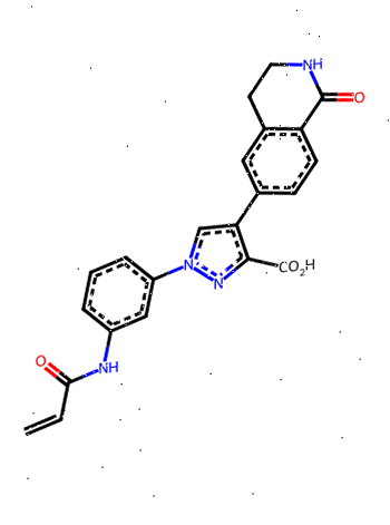 C=CC(=O)Nc1cccc(-n2cc(-c3ccc4c(c3)CCNC4=O)c(C(=O)O)n2)c1